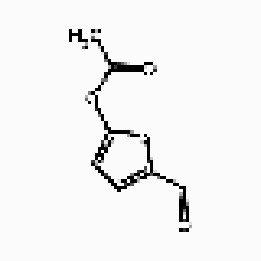 CC(=O)Oc1ccc(C=O)s1